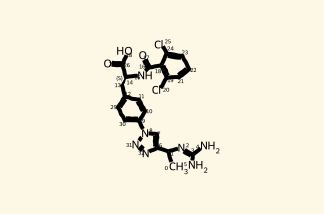 CC(N=C(N)N)c1cn(-c2ccc(C[C@H](NC(=O)c3c(Cl)cccc3Cl)C(=O)O)cc2)nn1